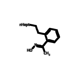 CCCCCCCCCc1ccccc1C(C)=NO